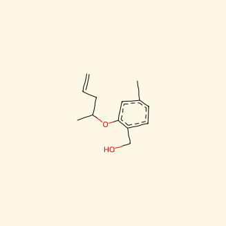 C=CCC(C)Oc1cc(C)ccc1CO